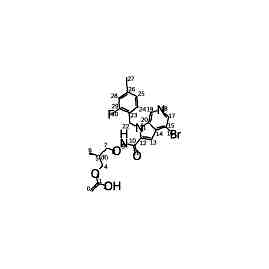 C=C(O)OC[C@@H](C)CONC(=O)c1cc2c(Br)cncc2n1Cc1ccc(I)cc1F